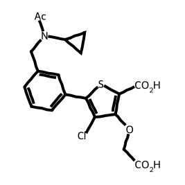 CC(=O)N(Cc1cccc(-c2sc(C(=O)O)c(OCC(=O)O)c2Cl)c1)C1CC1